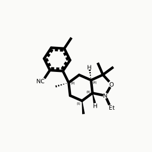 CCN1OC(C)(C)[C@@H]2C[C@](C)(c3cc(C)ccc3C#N)C[C@H](C)[C@H]21